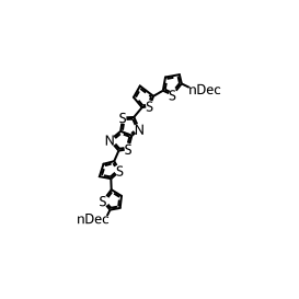 CCCCCCCCCCc1ccc(-c2ccc(-c3nc4sc(-c5ccc(-c6ccc(CCCCCCCCCC)s6)s5)nc4s3)s2)s1